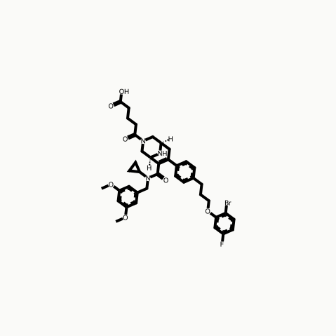 COc1cc(CN(C(=O)C2=C(c3ccc(CCCOc4cc(F)ccc4Br)cc3)C[C@@H]3CN(C(=O)CCCC(=O)O)C[C@H]2N3)C2CC2)cc(OC)c1